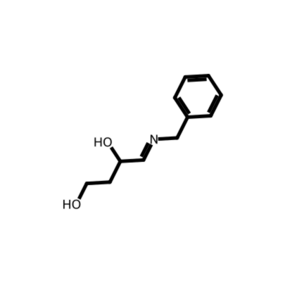 OCCC(O)C=NCc1ccccc1